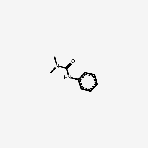 CN(C)C(=O)Nc1ccccc1